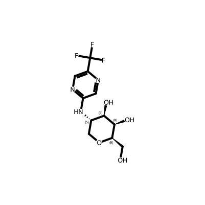 OC[C@H]1OC[C@H](Nc2cnc(C(F)(F)F)cn2)[C@@H](O)[C@H]1O